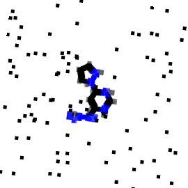 NNc1cc(-n2cccn2)ncn1